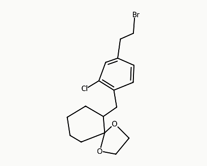 Clc1cc(CCBr)ccc1CC1CCCCC12OCCO2